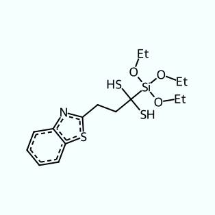 CCO[Si](OCC)(OCC)C(S)(S)CCc1nc2ccccc2s1